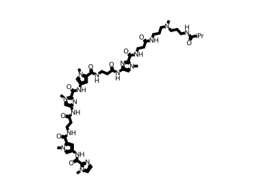 CC(C)C(=O)NCCCN(C)CCCNC(=O)CCNC(=O)c1nc(NC(=O)CCNC(=O)c2cc(NC(=O)c3nc(NC(=O)CCNC(=O)c4cc(NC(=O)c5nccn5C)cn4C)cn3C)cn2C)cn1C